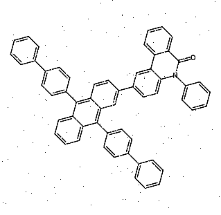 O=c1c2ccccc2c2cc(-c3ccc4c(-c5ccc(-c6ccccc6)cc5)c5ccccc5c(-c5ccc(-c6ccccc6)cc5)c4c3)ccc2n1-c1ccccc1